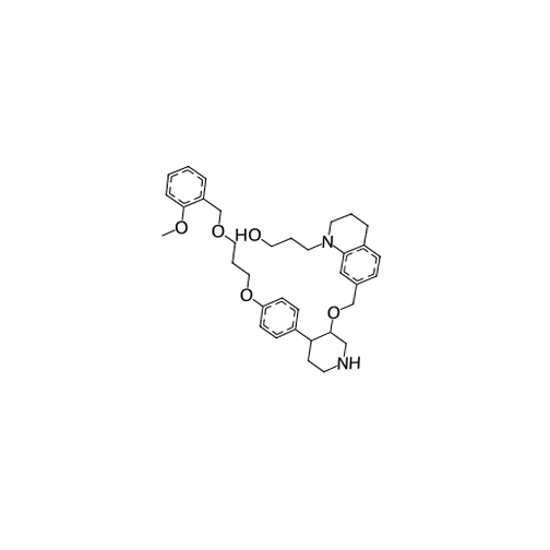 COc1ccccc1COCCCOc1ccc(C2CCNCC2OCc2ccc3c(c2)N(CCCO)CCC3)cc1